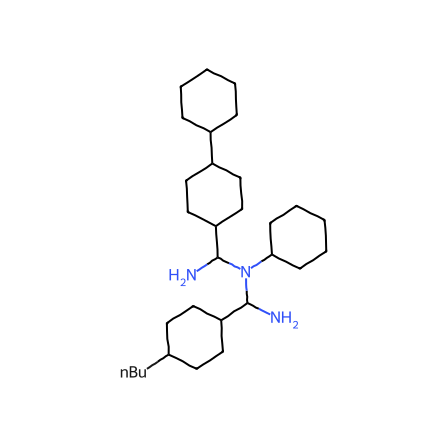 CCCCC1CCC(C(N)N(C2CCCCC2)C(N)C2CCC(C3CCCCC3)CC2)CC1